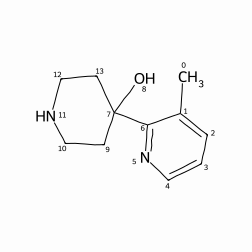 Cc1cccnc1C1(O)CCNCC1